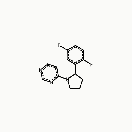 Fc1ccc(F)c(C2CCCN2c2ccncn2)c1